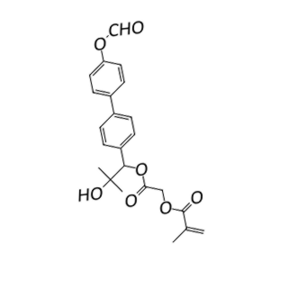 C=C(C)C(=O)OCC(=O)OC(c1ccc(-c2ccc(OC=O)cc2)cc1)C(C)(C)O